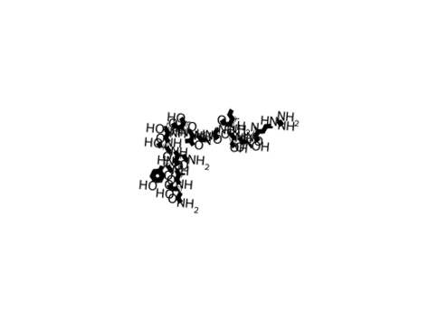 CC[C@H](C)[C@H](NC(=O)[C@H](CO)NC(=O)[C@H](CO)NC(=O)[C@@H](N)CCCNC(=N)N)C(=O)NCC(=O)N[C@@H](C)C(=O)N[C@H](C(=O)N[C@H](C(=O)N[C@H](C(=O)N[C@@H](CO)C(=O)N[C@@H](CC(N)=O)C(=O)N[C@@H](Cc1ccc(O)cc1)C(=O)N[C@@H](C)C(=O)N[C@@H](CC(N)=O)C(=O)O)[C@@H](C)O)[C@@H](C)O)C(C)C